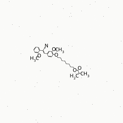 C=C(C)C(=O)OCCCCCCCCOc1ccc(/C=C(\C#N)c2ccccc2OC)cc1OC